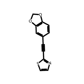 C(#Cc1nccs1)c1ccc2c(c1)OCO2